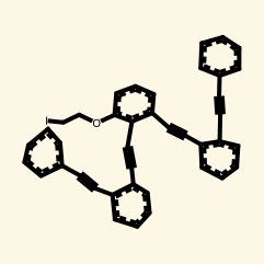 ICCOc1cccc(C#Cc2ccccc2C#Cc2ccccc2)c1C#Cc1ccccc1C#Cc1ccccc1